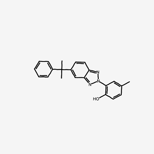 Cc1ccc(O)c(-n2nc3ccc(C(C)(C)c4ccccc4)cc3n2)c1